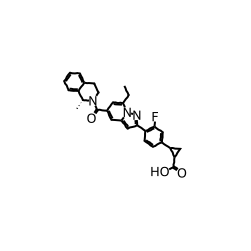 CCc1cc(C(=O)N2CCc3ccccc3[C@H]2C)cc2cc(-c3ccc(C4CC4C(=O)O)cc3F)nn12